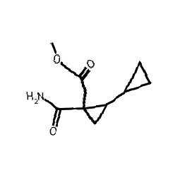 COC(=O)C1(C(N)=O)CC1C1CC1